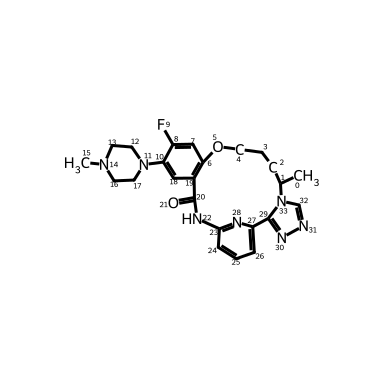 CC1CCCOc2cc(F)c(N3CCN(C)CC3)cc2C(=O)Nc2cccc(n2)-c2nncn21